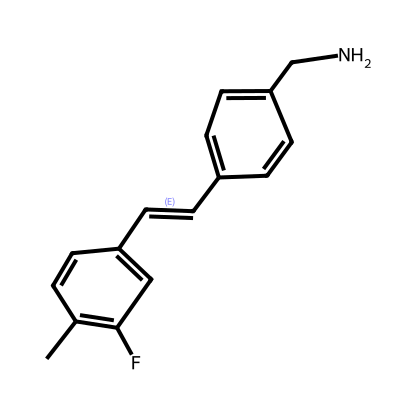 Cc1ccc(/C=C/c2ccc(CN)cc2)cc1F